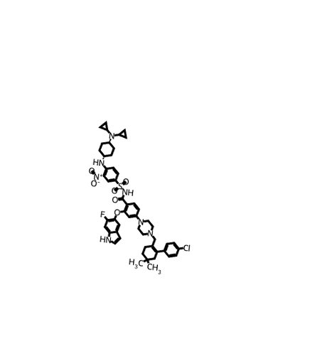 CC1(C)CCC(CN2CCN(c3ccc(C(=O)NS(=O)(=O)c4ccc(N[C@H]5CC[C@H](N(C6CC6)C6CC6)CC5)c([N+](=O)[O-])c4)c(Oc4cc5cc[nH]c5cc4F)c3)CC2)=C(c2ccc(Cl)cc2)C1